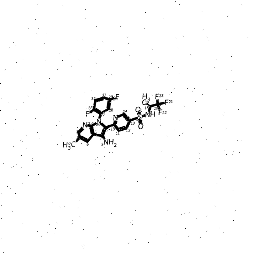 Cc1cnc2c(c1)c(N)c(-c1ccc(S(=O)(=O)N[C@@H](C)C(F)(F)F)cn1)n2-c1cc(F)ccc1F